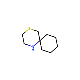 C1CCC2(CC1)CSCCN2